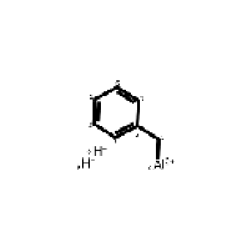 [Al+2][CH2]c1ccccc1.[H-].[H-]